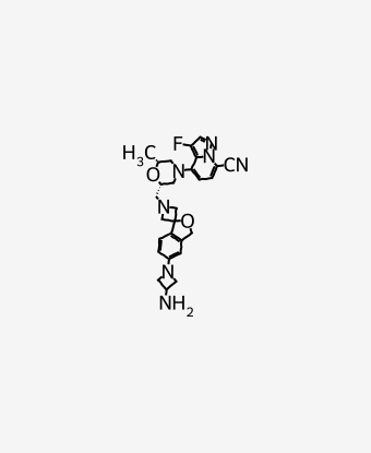 C[C@@H]1CN(c2ccc(C#N)n3ncc(F)c23)C[C@H](CN2CC3(C2)OCc2cc(N4CC(N)C4)ccc23)O1